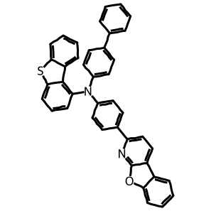 c1ccc(-c2ccc(N(c3ccc(-c4ccc5c(n4)oc4ccccc45)cc3)c3cccc4sc5ccccc5c34)cc2)cc1